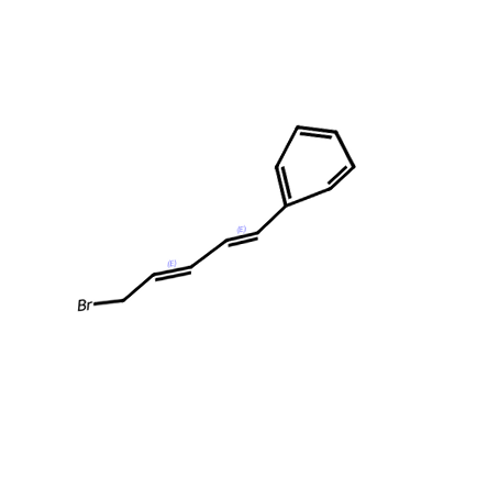 BrC/C=C/C=C/c1ccccc1